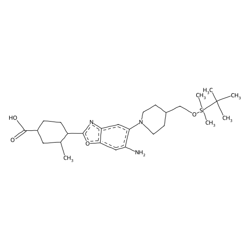 CC1CC(C(=O)O)CCC1c1nc2cc(N3CCC(CO[Si](C)(C)C(C)(C)C)CC3)c(N)cc2o1